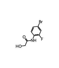 O=C(CO)Nc1ccc(Br)cc1F